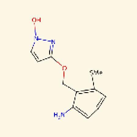 CSc1cccc(N)c1COc1ccn(O)n1